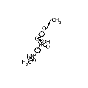 CCC#CCOc1ccc(S(=O)(=O)CC(c2ccc(CNS(C)(=O)=O)cc2)N(O)C=O)cc1